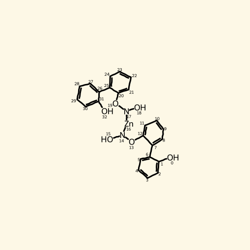 Oc1ccccc1-c1ccccc1O[N](O)[Zn][N](O)Oc1ccccc1-c1ccccc1O